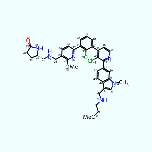 COCCNCc1cn(C)c2cc(-c3nccc(-c4cccc(-c5ccc(CNC[C@@H]6CCC(=O)N6)c(OC)n5)c4Cl)c3Cl)ccc12